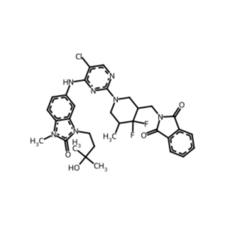 CC1CN(c2ncc(Cl)c(Nc3ccc4c(c3)n(CCC(C)(C)O)c(=O)n4C)n2)CC(CN2C(=O)c3ccccc3C2=O)C1(F)F